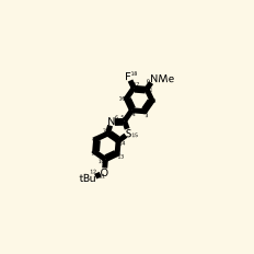 CNc1ccc(-c2nc3ccc(OC(C)(C)C)cc3s2)cc1F